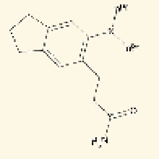 CCCN(CCC)c1cc2c(cc1CCC(N)=O)CCC2